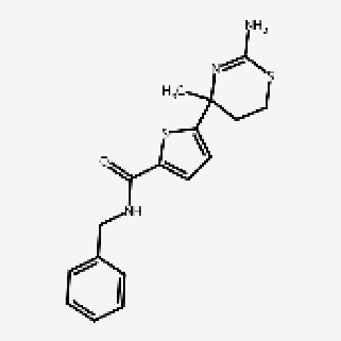 CC1(c2ccc(C(=O)NCc3ccccc3)s2)CCSC(N)=N1